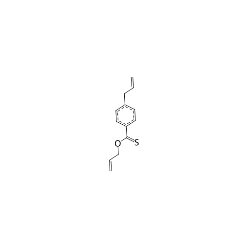 C=CCOC(=S)c1ccc(CC=C)cc1